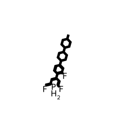 CC1CCC(C2CCC(c3ccc(C(/C=C/F)=C/C(P)=C/F)c(F)c3)CC2)CC1